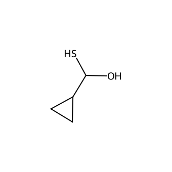 OC(S)C1CC1